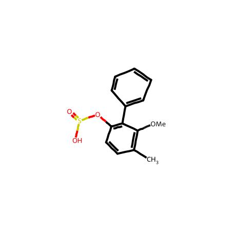 COc1c(C)ccc(OS(=O)O)c1-c1ccccc1